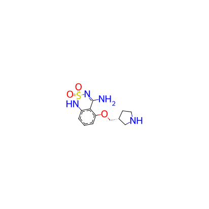 NC1=NS(=O)(=O)Nc2cccc(OC[C@@H]3CCNC3)c21